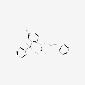 CC1(c2ccccc2)OCC(=O)N(CCCc2ccccc2)c2ccc(Cl)cc21